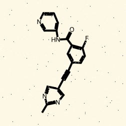 Cc1ncc(C#Cc2ccc(F)c(C(=O)Nc3cccnc3)c2)cn1